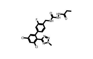 CCC(=O)NNC(=O)NCc1ccc(-c2cc(Cl)cc(Cl)c2-c2nnn(C)n2)cc1F